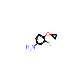 Nc1ccc(OC2CC2)c(Cl)c1